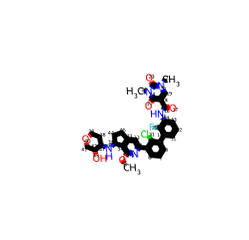 COc1nc(-c2cccc(-c3cccc(NC(=O)c4cn(C)c(=O)n(C)c4=O)c3F)c2Cl)cc2c1C(NC1CCOCC1O)CC2